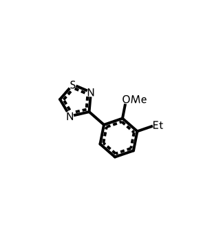 CCc1cccc(-c2ncsn2)c1OC